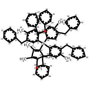 CC1=C(C)C(C)C([Si](c2cc(Cc3ccccc3)c(C)cc2Cc2ccccc2)(c2cc(Cc3ccccc3)c(C)cc2Cc2ccccc2)c2cc(Cc3ccccc3)c(C)cc2Cc2ccccc2)=C1C